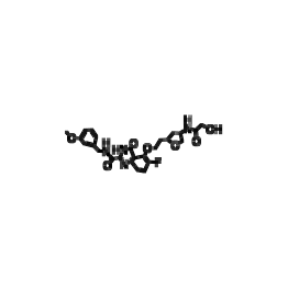 COc1cccc(CNC(=O)c2nc3ccc(F)c(OCCC4CC(NC(=O)CO)CO4)c3c(=O)[nH]2)c1